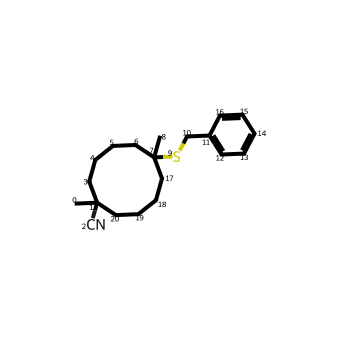 CC1(C#N)CCCCC(C)(SCc2ccccc2)CCCC1